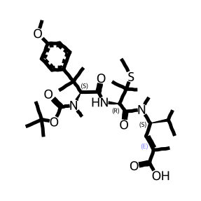 COc1ccc(C(C)(C)[C@@H](C(=O)N[C@H](C(=O)N(C)[C@H](/C=C(\C)C(=O)O)C(C)C)C(C)(C)SC)N(C)C(=O)OC(C)(C)C)cc1